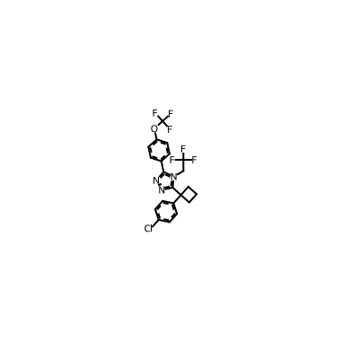 FC(F)(F)Cn1c(-c2ccc(OC(F)(F)F)cc2)nnc1C1(c2ccc(Cl)cc2)CCC1